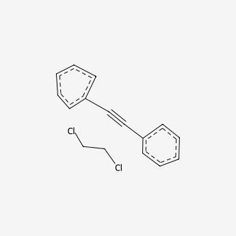 C(#Cc1ccccc1)c1ccccc1.ClCCCl